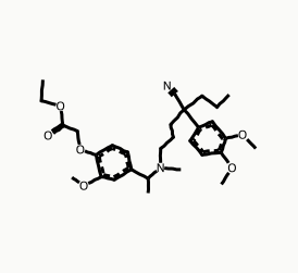 CCCC(C#N)(CCCN(C)C(C)c1ccc(OCC(=O)OCC)c(OC)c1)c1ccc(OC)c(OC)c1